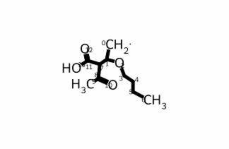 [CH2]C(OCCCC)C(C(C)=O)C(=O)O